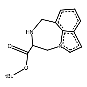 CC(C)(C)OC(=O)C1Cn2ccc3cccc(c32)CN1